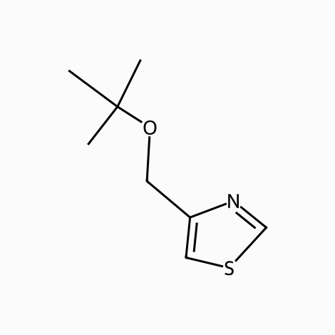 CC(C)(C)OCc1cscn1